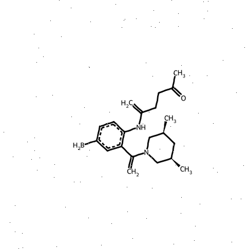 Bc1ccc(NC(=C)CCC(C)=O)c(C(=C)N2C[C@H](C)C[C@H](C)C2)c1